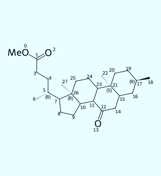 COC(=O)CC[C@@H](C)C1CCC2C3C(=O)CC4C[C@H](C)CC[C@]4(C)C3CC[C@@]21C